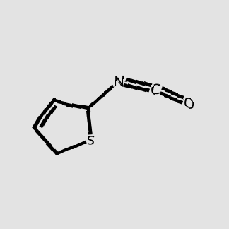 O=C=NC1C=CCS1